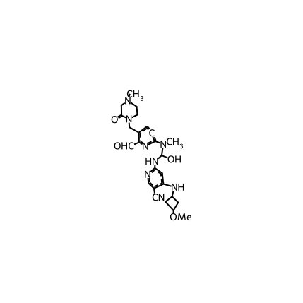 COC1CC(Nc2cc(NC(O)N(C)c3ccc(CN4CCN(C)CC4=O)c(C=O)n3)ncc2C#N)C1